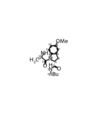 CCCCNC(=O)[C@H]1Cc2cc(OC)ccc2N1C(=O)[C@H](C)N